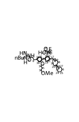 CCCCNC(=N)NC(=O)CCc1ccc(-c2ccc(CN3CCC(N4CCCCC4)CC3)cc2)c(OCCCOC)c1.O=C(O)C(F)(F)F